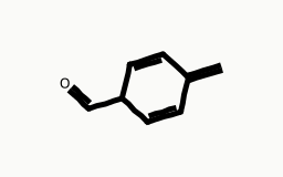 C=C1C=CC(C=O)C=C1